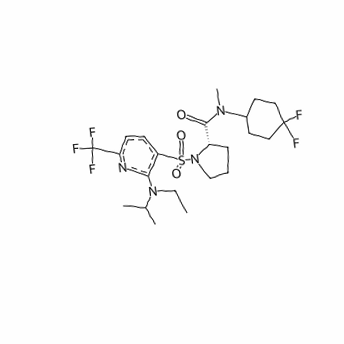 CCN(c1nc(C(F)(F)F)ccc1S(=O)(=O)N1CCC[C@H]1C(=O)N(C)C1CCC(F)(F)CC1)C(C)C